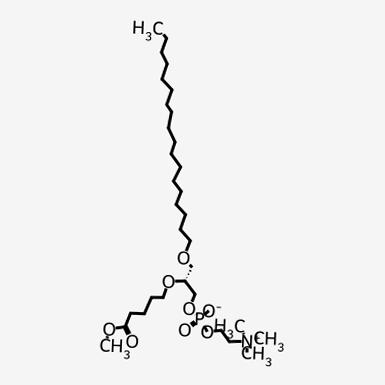 CCCCCCCCCCCCCCCCCCOC[C@H](COP(=O)([O-])OCC[N+](C)(C)C)OCCCCC(=O)OC